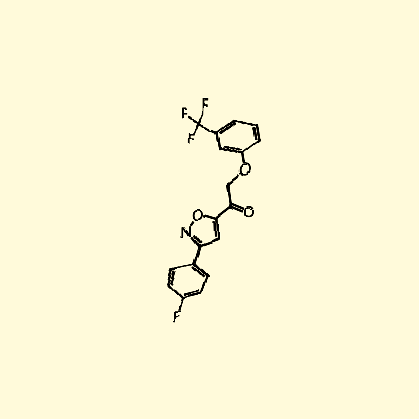 O=C(COc1cccc(C(F)(F)F)c1)c1cc(-c2ccc(F)cc2)no1